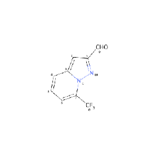 O=Cc1cc2cccc(C(F)(F)F)n2n1